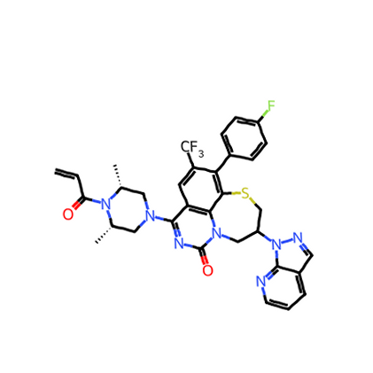 C=CC(=O)N1[C@H](C)CN(c2nc(=O)n3c4c(c(-c5ccc(F)cc5)c(C(F)(F)F)cc24)SCC(n2ncc4cccnc42)C3)C[C@@H]1C